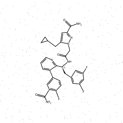 NC(=O)c1cc(CC2CC2)n(CC(=O)N[C@@H](Cc2cc(F)cc(F)c2)c2ncccc2-c2ccc(F)c(C(N)=O)c2)n1